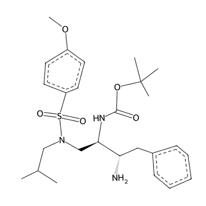 COc1ccc(S(=O)(=O)N(CC(C)C)C[C@@H](NC(=O)OC(C)(C)C)[C@@H](N)Cc2ccccc2)cc1